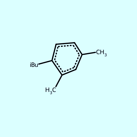 CCC(C)c1ccc(C)cc1C